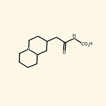 O=C(O)NC(=O)CC1CCN2CCCCC2C1